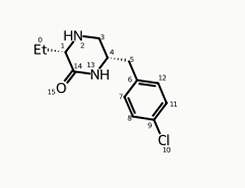 CC[C@@H]1NC[C@H](Cc2ccc(Cl)cc2)NC1=O